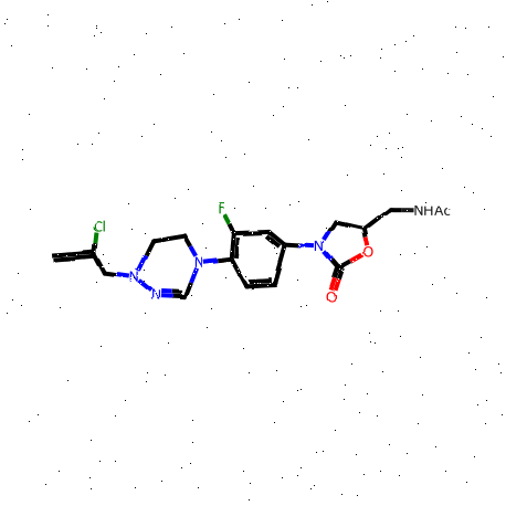 C=C(Cl)CN1CCN(c2ccc(N3CC(CNC(C)=O)OC3=O)cc2F)C=N1